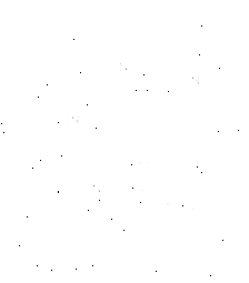 C#CC[C@H](NC(=O)[C@H](COC)NC(=O)c1cc(C)on1)C(=O)N[C@@H](CC(C)C)C(=O)C1(C)CC1